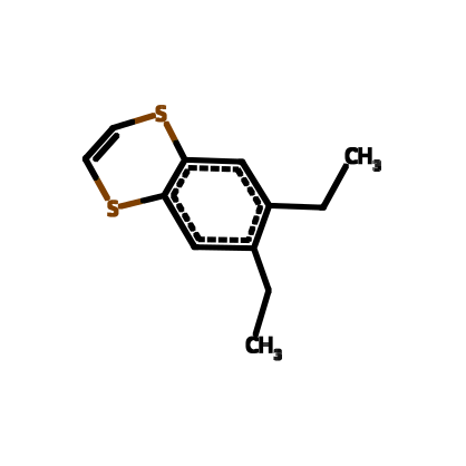 CCc1cc2c(cc1CC)SC=CS2